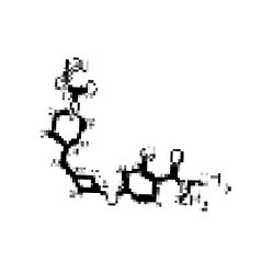 CN(C)C(=O)c1ccc(OC2CC(CC3CCN(C(=O)OC(C)(C)C)CC3)C2)cc1Cl